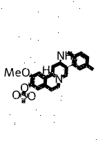 COc1cc2c(cc1OS(C)(=O)=O)CCN1C[C@@H](c3cc(C)ccc3C)[C@H](N)C[C@H]21